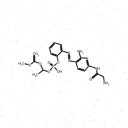 C=C(OC)OC(C)OP(=O)(O)Oc1ccccc1/N=N/c1ccc(NC(=O)CN)nc1N